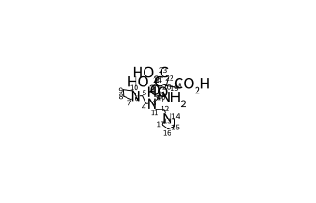 NC(=O)N(CCN1CCCC1)CCN1CCCC1.O=C(O)CC(O)(CC(=O)O)C(=O)O